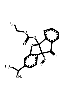 CCOC(=O)OC12Oc3cc(C(C)C)ccc3C1(N=O)C(=O)c1ccccc12